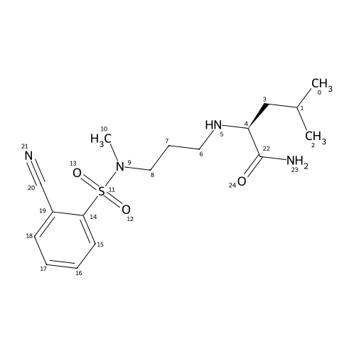 CC(C)C[C@H](NCCCN(C)S(=O)(=O)c1ccccc1C#N)C(N)=O